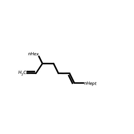 C=CC(CCC=CCCCCCCC)CCCCCC